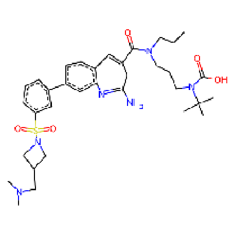 CCCN(CCCN(C(=O)O)C(C)(C)C)C(=O)C1=Cc2ccc(-c3cccc(S(=O)(=O)N4CC(CN(C)C)C4)c3)cc2N=C(N)C1